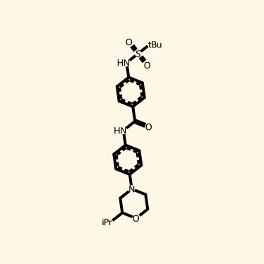 CC(C)C1CN(c2ccc(NC(=O)c3ccc(NS(=O)(=O)C(C)(C)C)cc3)cc2)CCO1